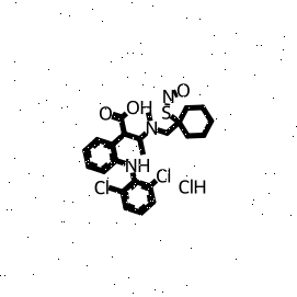 CC(C(C(=O)O)c1ccccc1Nc1c(Cl)cccc1Cl)N(C)CC1(SN=O)CCCCC1.Cl